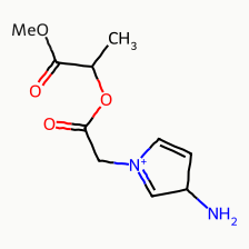 COC(=O)C(C)OC(=O)C[N+]1=CC(N)C=C1